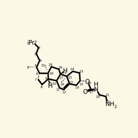 CC(C)CCC[C@@H](C)[C@H]1CC[C@H]2C3CC=C4C[C@@H](OC(=O)NCCN)CC[C@]4(C)[C@H]3CC[C@]12C